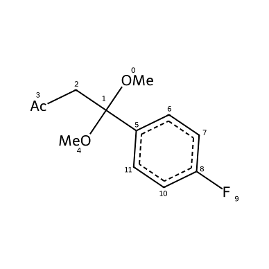 COC(CC(C)=O)(OC)c1ccc(F)cc1